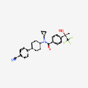 C[C@](O)(c1ccc(C(=O)N(C2CCC(c3ccc(C#N)cc3)CC2)C2CC2)cc1)C(F)(F)F